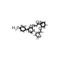 Cc1ccc(-c2cc(NCC(C)c3ccccc3OCC3CCCO3)ncn2)cn1